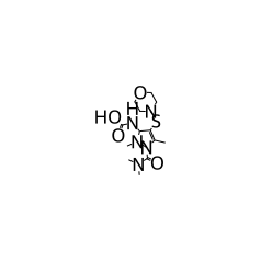 CC1=C(SN2CCOCC2)C(NC(=O)O)N(C)N1C(=O)N(C)C